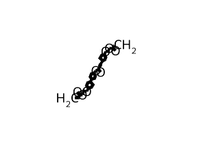 C=CC(=O)OCOc1ccc(C#CC(=O)Oc2ccc(-c3ccc(OCOC(=O)C=C)cc3)cc2)cc1